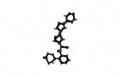 O=C(Nc1cnccc1N1CCNCC1)c1nnc(-c2ccc(-c3ccccc3)s2)s1